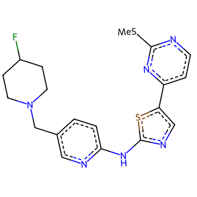 CSc1nccc(-c2cnc(Nc3ccc(CN4CCC(F)CC4)cn3)s2)n1